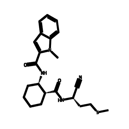 CSCC[C@@H](C#N)NC(=O)[C@@H]1CCCC[C@@H]1NC(=O)c1cc2ccccc2n1C